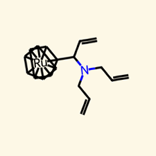 C=CCN(CC=C)C(C=C)[C]12[CH]3[CH]4[CH]5[CH]1[Ru]45321678[CH]2[CH]1[CH]6[CH]7[CH]28